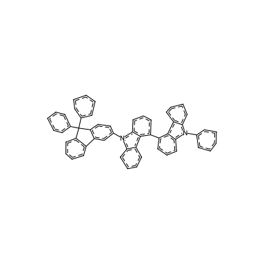 c1ccc(-n2c3ccccc3c3c(-c4cccc5c4c4ccccc4n5-c4ccc5c(c4)-c4ccccc4C5(c4ccccc4)c4ccccc4)cccc32)cc1